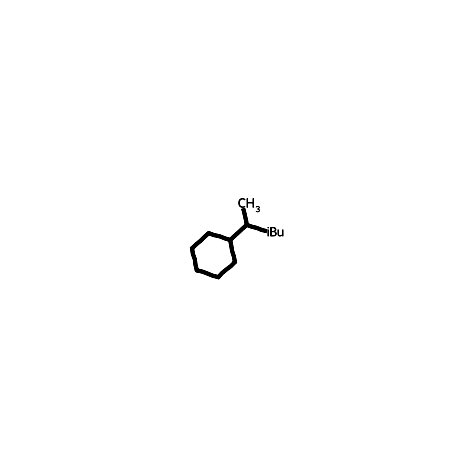 CCC(C)C(C)C1CCCCC1